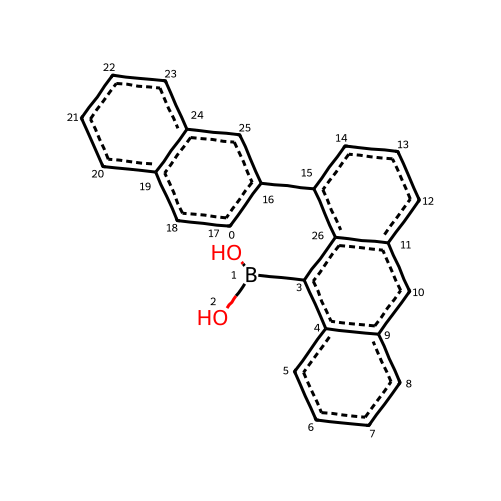 OB(O)c1c2ccccc2cc2cccc(-c3ccc4ccccc4c3)c12